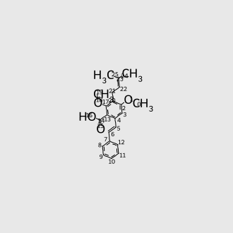 COc1cc(/C=C/c2ccccc2)c(C(=O)O)c(OC)c1CC=C(C)C